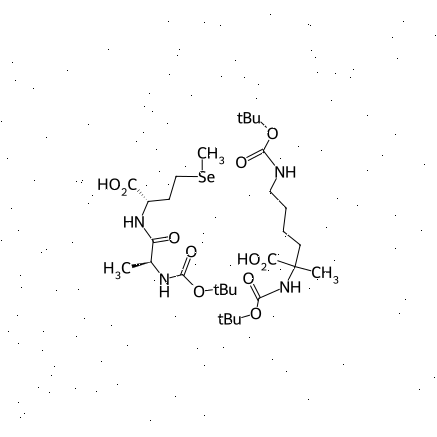 CC(C)(C)OC(=O)NCCCCC(C)(NC(=O)OC(C)(C)C)C(=O)O.C[Se]CC[C@H](NC(=O)[C@H](C)NC(=O)OC(C)(C)C)C(=O)O